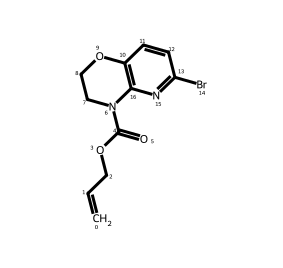 C=CCOC(=O)N1CCOc2ccc(Br)nc21